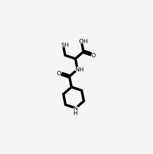 O=C(NC(CS)C(=O)O)C1CCNCC1